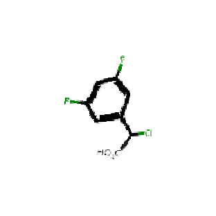 O=C(O)C(Cl)c1cc(F)cc(F)c1